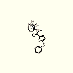 C[C@H]1[C@H](NC(=O)c2ccc(Sc3ccccc3)s2)C2CCN1CC2